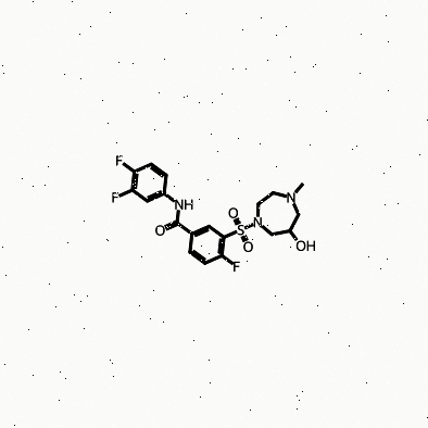 CN1CCN(S(=O)(=O)c2cc(C(=O)Nc3ccc(F)c(F)c3)ccc2F)CC(O)C1